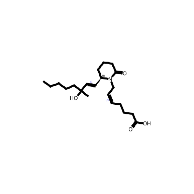 CCCCCC(C)(O)/C=C/[C@H]1CCCC(=O)N1C/C=C\CCCC(=O)O